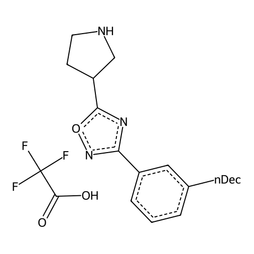 CCCCCCCCCCc1cccc(-c2noc(C3CCNC3)n2)c1.O=C(O)C(F)(F)F